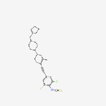 CC1=C(C#Cc2cc(F)c(N=C=S)c(F)c2)CCC(C2CCC(CC3=CCCC3)CC2)C1